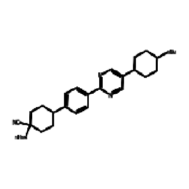 CCCCCCC1(C#N)CCC(c2ccc(-c3ncc(C4CCC(CCCC)CC4)cn3)cc2)CC1